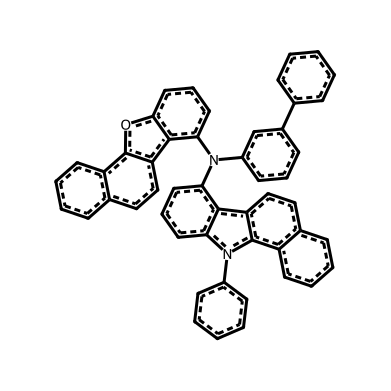 c1ccc(-c2cccc(N(c3cccc4oc5c6ccccc6ccc5c34)c3cccc4c3c3ccc5ccccc5c3n4-c3ccccc3)c2)cc1